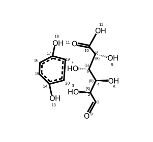 O=C[C@@H](O)[C@H](O)[C@H](O)[C@@H](O)C(=O)O.Oc1ccc(O)cc1